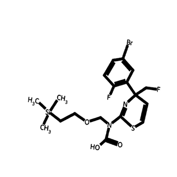 C[Si](C)(C)CCOCN(C(=O)O)C1=NC(CF)(c2cc(Br)ccc2F)C=CS1